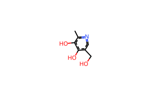 Cc1ncc(CO)c(O)c1O